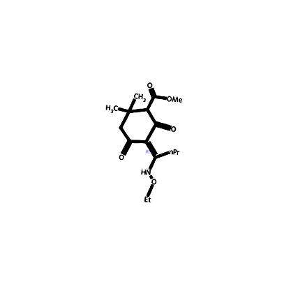 CCC/C(NOCC)=C1/C(=O)CC(C)(C)C(C(=O)OC)C1=O